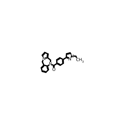 CCn1ccc(-c2ccc(C(=O)N3Cc4cccn4Cc4ccccc43)cc2)n1